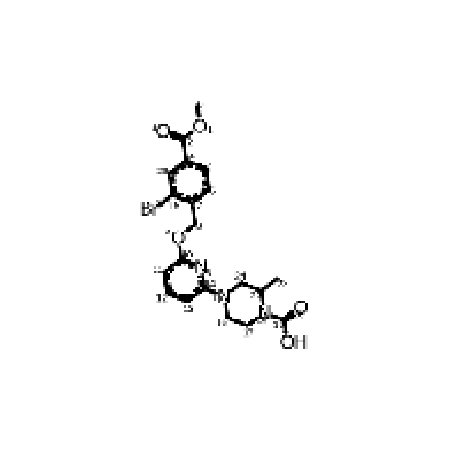 COC(=O)c1ccc(COc2cccc(N3CCN(C(=O)O)C(C)C3)n2)c(Br)c1